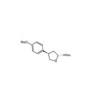 CCCCCC[C@H]1C[C@H](c2ccc(OC)cc2)CO1